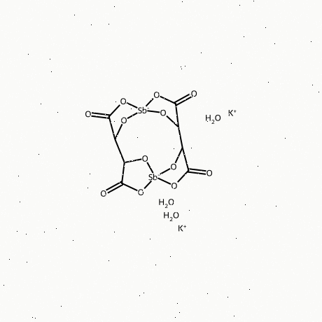 O.O.O.O=C1[O][Sb-]23[O]C(=O)C([O]2)C2[O][Sb-]4([O]C(=O)C([O]4)C1[O]3)[O]C2=O.[K+].[K+]